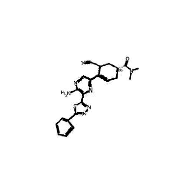 CN(C)C(=O)[C@@H]1CC=C(c2cnc(N)c(-c3nnc(-c4ccccc4)s3)n2)C(C#N)C1